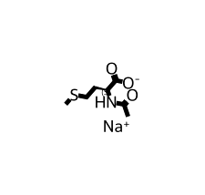 CSCC[C@H](NC(C)=O)C(=O)[O-].[Na+]